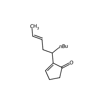 CC=CCC(CCCC)C1=CCCC1=O